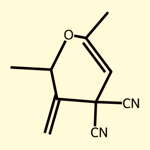 C=C1C(C)OC(C)=CC1(C#N)C#N